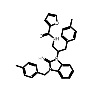 Cc1ccc(CC(CNC(=O)c2ccco2)n2c(=N)n(Cc3ccc(C)cc3)c3ccccc32)cc1